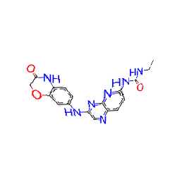 CCNC(=O)Nc1ccc2ncc(Nc3ccc4c(c3)OCC(=O)N4)nc2n1